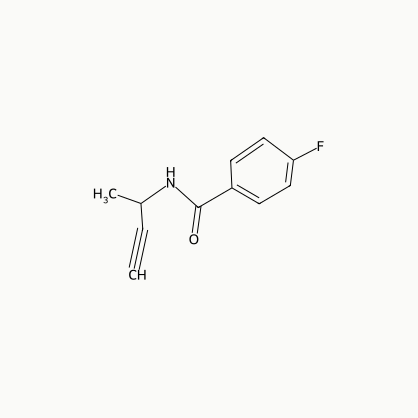 C#CC(C)NC(=O)c1ccc(F)cc1